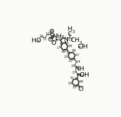 CC(C)n1cc(C(=O)NS(=O)(=O)CCCO)c2ccc(-c3ccc(CCNC[C@H](O)c4cccc(Cl)c4)cc3)cc21.Cl